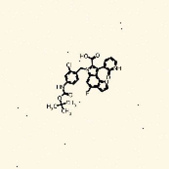 CC(C)(C)OC(=O)Nc1ccc(Cn2c(C(=O)O)c(-c3ccc[nH]c3=O)c3c4occc4c(F)cc32)c(Cl)c1